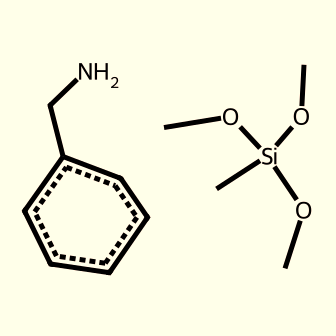 CO[Si](C)(OC)OC.NCc1ccccc1